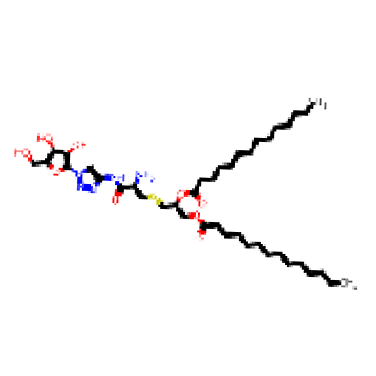 CCCCCCCCCCCCCC(=O)OCC(CSCC(N)C(=O)Nc1cn([C@H]2OC(CO)[C@@H](O)[C@H]2O)nn1)OC(=O)CCCCCCCCCCCCC